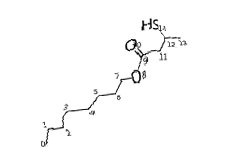 CCCCCCCCOC(=O)CC(C)S